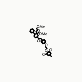 COCCCC1(C(=O)OC)CC(C(C#N)Cc2ccc(OCCOc3c(Cl)cc(C)cc3Cl)cc2)=CC=C1c1ccccc1